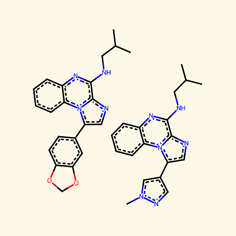 CC(C)CNc1nc2ccccc2n2c(-c3ccc4c(c3)OCO4)cnc12.CC(C)CNc1nc2ccccc2n2c(-c3cnn(C)c3)cnc12